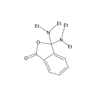 CCN(CC)C1(N(CC)CC)OC(=O)c2ccccc21